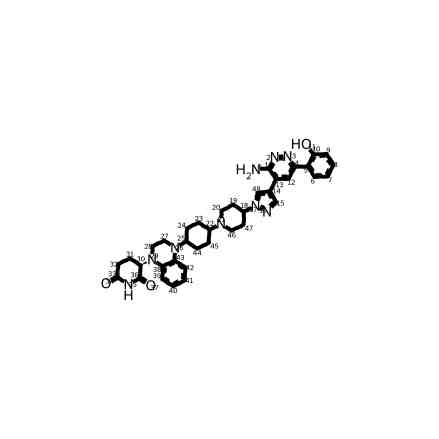 Nc1nnc(-c2ccccc2O)cc1-c1cnn(C2CCN(C3CCC(N4CCN([C@H]5CCC(=O)NC5=O)c5ccccc54)CC3)CC2)c1